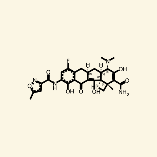 Cc1cc(C(=O)Nc2cc(F)c3c(c2O)C(=O)C2=C(O)[C@]45PC[C@@]4(C)C(C(N)=O)=C(O)[C@@H](N(C)C)[C@@H]5C[C@@H]2C3)no1